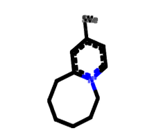 CSc1cc[n+]2c(c1)CCCCCC2